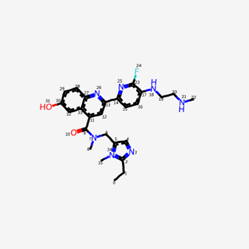 CCc1ncc(CN(C)C(=O)c2cc(-c3ccc(NCCNC)c(F)n3)nc3ccc(O)cc23)n1C